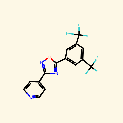 FC(F)(F)c1cc(-c2nc(-c3ccncc3)no2)cc(C(F)(F)F)c1